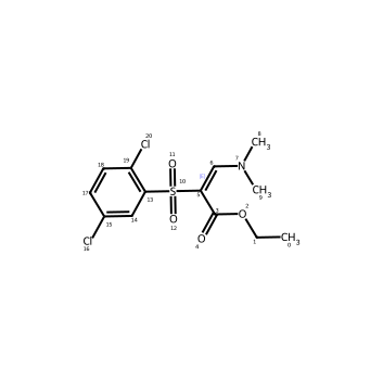 CCOC(=O)/C(=C\N(C)C)S(=O)(=O)c1cc(Cl)ccc1Cl